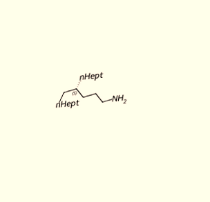 CCCCCCCC[C@@H](CCCN)CCCCCCC